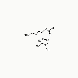 CC(O)CO.CCCCCCCCCCCCCCOC(=O)CC.CCOCC